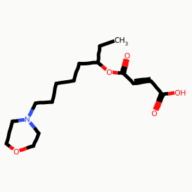 CCC(CCCCCN1CCOCC1)OC(=O)C=CC(=O)O